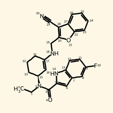 CCN(C(=O)c1cc2cc(F)ccc2[nH]1)[C@@H]1C=C(NCc2oc3ccccc3c2C#N)CCC1